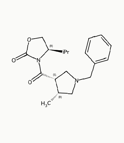 CC(C)[C@@H]1COC(=O)N1C(=O)[C@@H]1CN(Cc2ccccc2)C[C@@H]1C